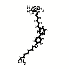 CCCCCCCCOc1ccc(-c2nc[c]c(CCCCCC[Si](C)(C)C)n2)cc1